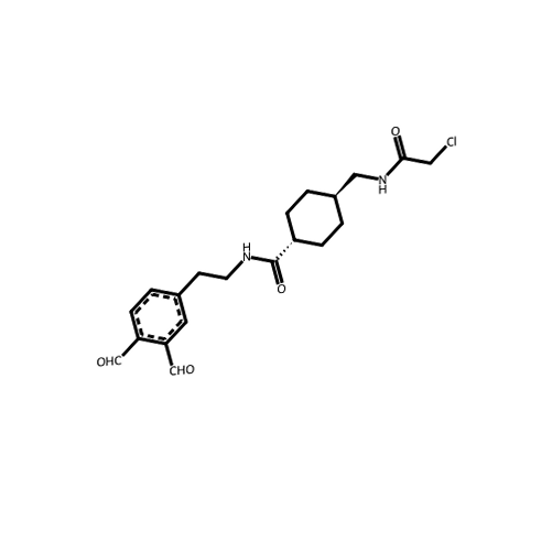 O=Cc1ccc(CCNC(=O)[C@H]2CC[C@H](CNC(=O)CCl)CC2)cc1C=O